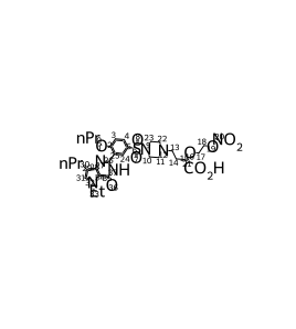 CCCOc1ccc(S(=O)(=O)N2CCN(CCC(OCCO[N+](=O)[O-])C(=O)O)CC2)cc1-c1nc2c(CCC)cn(CC)c2c(=O)[nH]1